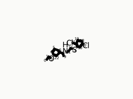 CCOc1cccc(C(C)NCCSc2cc(Cl)ccc2Cl)c1